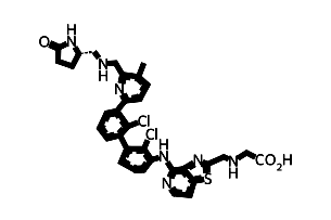 Cc1ccc(-c2cccc(-c3cccc(Nc4nccc5sc(CNCC(=O)O)nc45)c3Cl)c2Cl)nc1CNC[C@@H]1CCC(=O)N1